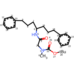 CN(CC(=O)NC(CCCc1ccccc1)CCCc1ccccc1)C(=O)OC(C)(C)C